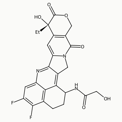 CC[C@@]1(O)C(=O)OCc2c1cc1n(c2=O)Cc2c-1nc1cc(F)c(F)c3c1c2C(NC(=O)CO)CC3